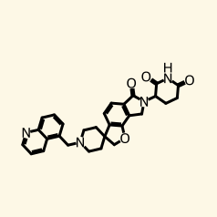 O=C1CCC(N2Cc3c(ccc4c3OCC43CCN(Cc4cccc5ncccc45)CC3)C2=O)C(=O)N1